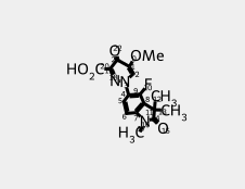 COc1cn(-c2ccc3c(c2F)C(C)(C)C(=O)N3C)nc(C(=O)O)c1=O